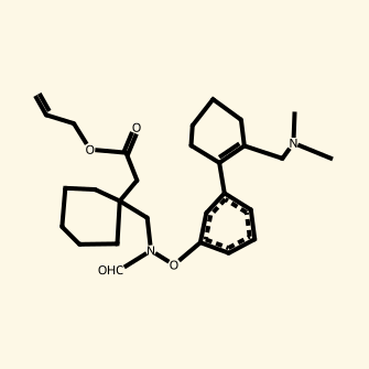 C=CCOC(=O)CC1(CN(C=O)Oc2cccc(C3=C(CN(C)C)CCCC3)c2)CCCCC1